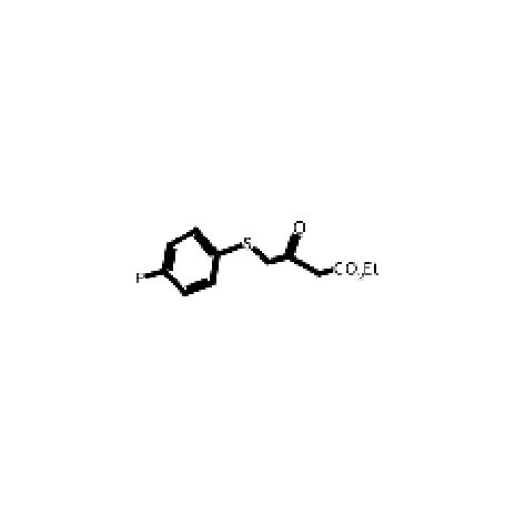 CCOC(=O)CC(=O)CSc1ccc(F)cc1